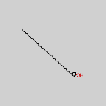 CCCCCCCCCCCCCCCCCCCCCCCCCCCCCCCCCCCCc1ccc(O)cc1